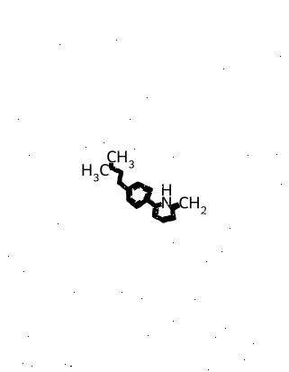 C=C1C=CC=C(c2ccc(CCC(C)C)cc2)N1